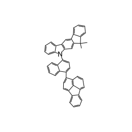 CC1(C)c2ccccc2-c2cc3c4ccccc4n(-c4ccc(-c5ccc6c7c(cccc57)-c5ccccc5-6)c5ccccc45)c3cc21